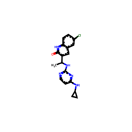 CC(Nc1nccc(NC2CC2)n1)c1cc2cc(Cl)ccc2[nH]c1=O